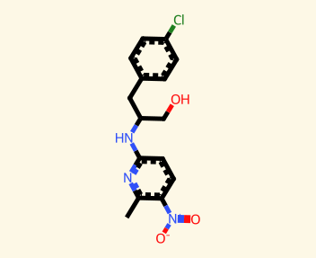 Cc1nc(NC(CO)Cc2ccc(Cl)cc2)ccc1[N+](=O)[O-]